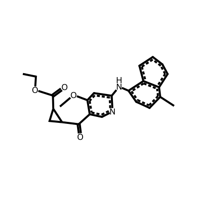 CCOC(=O)C1CC1C(=O)c1cnc(Nc2ccc(C)c3ccccc23)cc1OC